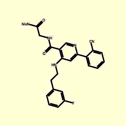 CNC(=O)CNC(=O)c1cnc(-c2ccccc2C#N)cc1NCCc1cccc(F)c1